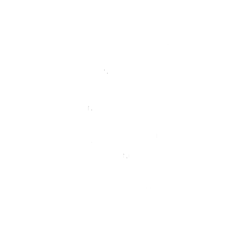 O=C(O)CNC(=O)c1c(O)cc(C2C=CSC2)c2nccnc12